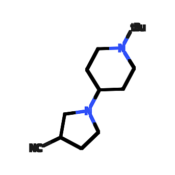 CC(C)(C)N1CCC(N2CCC(C#N)C2)CC1